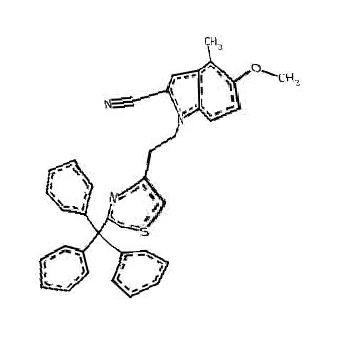 COc1ccc2c(cc(C#N)n2CCc2csc(C(c3ccccc3)(c3ccccc3)c3ccccc3)n2)c1C